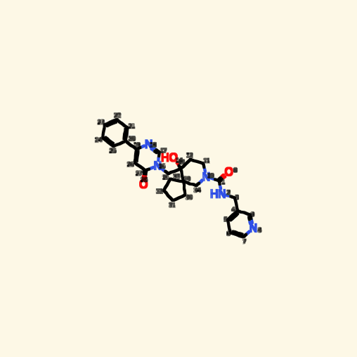 O=C(NCc1cccnc1)N1CCC(O)(Cn2cnc(-c3ccccc3)cc2=O)C2(CCCC2)C1